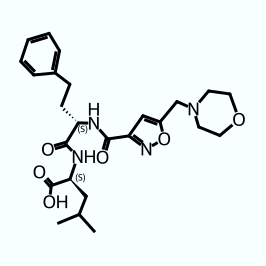 CC(C)C[C@H](NC(=O)[C@H](CCc1ccccc1)NC(=O)c1cc(CN2CCOCC2)on1)C(=O)O